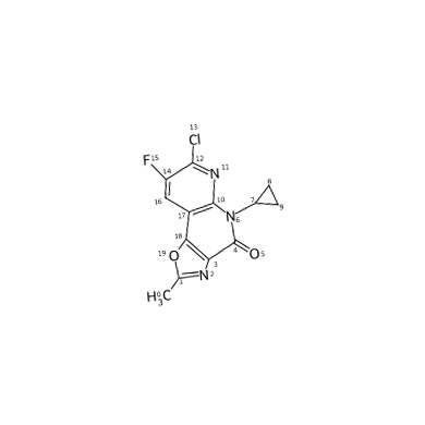 Cc1nc2c(=O)n(C3CC3)c3nc(Cl)c(F)cc3c2o1